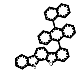 c1ccc2c(-c3c4ccccc4c(-c4cccc5oc6c(ccc7c8ccccc8sc76)c45)c4ccccc34)cccc2c1